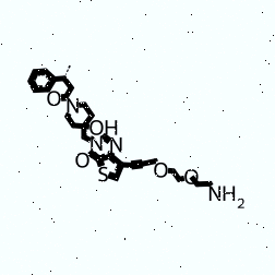 C[C@H](CC(=O)N1CCC(O)(Cn2cnc3c(C#CCOCCOCCN)csc3c2=O)CC1)c1ccccc1